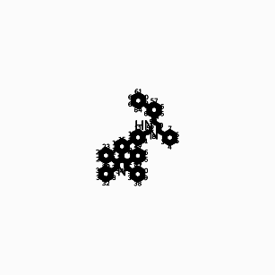 C1=C(c2ccccc2)N=C(c2ccc(-c3cccc(-c4c(-c5ccccc5)c(-c5ccccc5)nc(-c5ccccc5)c4-c4ccccc4)c3)cc2)NC1c1cccc(-c2ccccc2)c1